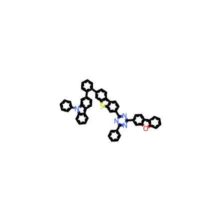 c1ccc(-c2nc(-c3ccc4c(c3)oc3ccccc34)nc(-c3ccc4c(c3)sc3cc(-c5ccccc5-c5ccc6c7ccccc7n(-c7ccccc7)c6c5)ccc34)n2)cc1